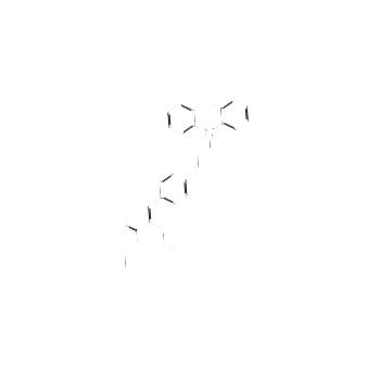 CCOC(=O)/C(=C/c1ccc(OCCN2c3ccccc3Oc3ccccc32)cc1)OCC